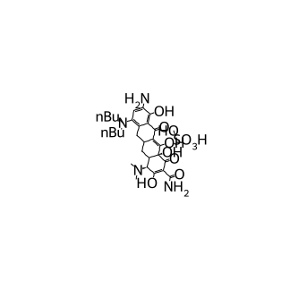 CCCCN(CCCC)c1cc(N)c(O)c2c1CC1CC3[C@H](N(C)C)C(O)=C(C(N)=O)C(=O)[C@@]3(O)C(O)=C1C2=O.O=S(=O)(O)O